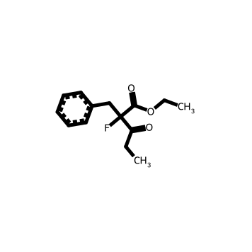 CCOC(=O)C(F)(Cc1ccccc1)C(=O)CC